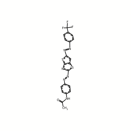 CC(=O)Nc1ccc(N=Nc2nc3sc(N=Nc4ccc(C(F)(F)F)cc4)cc3s2)cc1